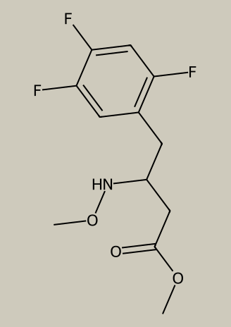 CONC(CC(=O)OC)Cc1cc(F)c(F)cc1F